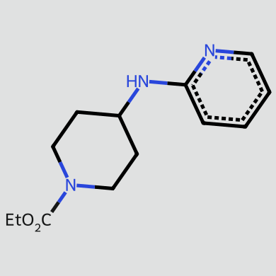 CCOC(=O)N1CCC(Nc2ccccn2)CC1